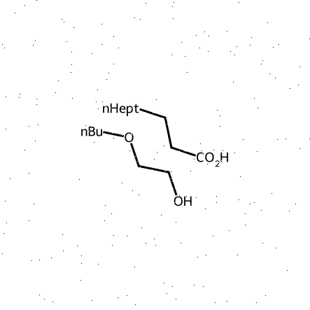 CCCCCCCCCC(=O)O.CCCCOCCO